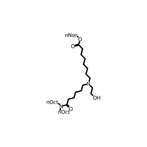 CCCCCCCCCOC(=O)CCCCCCCN(CCO)CCCCCC(=O)N(CCCCCCCC)CCCCCCCC